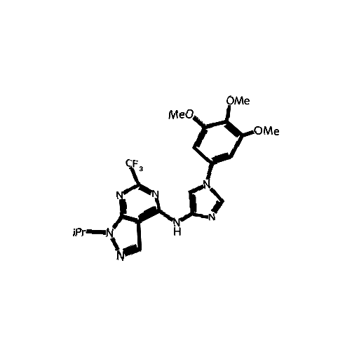 COc1cc(-n2cnc(Nc3nc(C(F)(F)F)nc4c3cnn4C(C)C)c2)cc(OC)c1OC